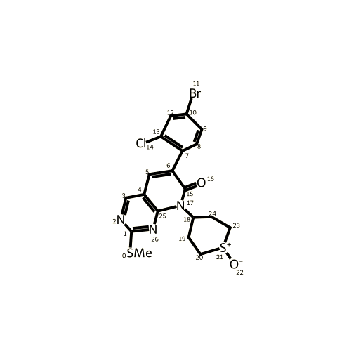 CSc1ncc2cc(-c3ccc(Br)cc3Cl)c(=O)n(C3CC[S+]([O-])CC3)c2n1